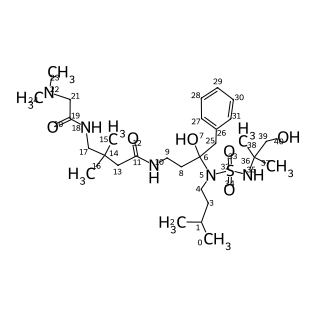 CC(C)CCN(C(O)(CCNC(=O)CC(C)(C)CNC(=O)CN(C)C)Cc1ccccc1)S(=O)(=O)NC(C)(C)CO